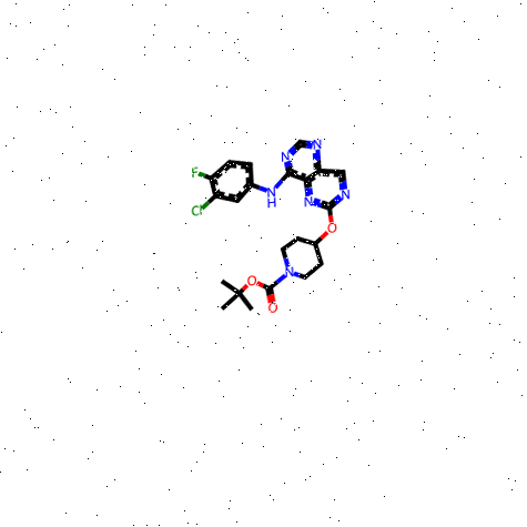 CC(C)(C)OC(=O)N1CCC(Oc2ncc3ncnc(Nc4ccc(F)c(Cl)c4)c3n2)CC1